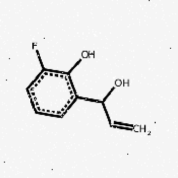 C=CC(O)c1cccc(F)c1O